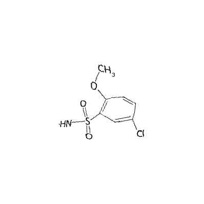 COc1ccc(Cl)cc1S([NH])(=O)=O